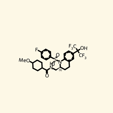 COC1CCC(C(=O)NC[C@@H]2CCc3cc(C(O)(C(F)(F)F)C(F)(F)F)ccc3N2S(=O)(=O)c2ccc(F)cc2)CC1